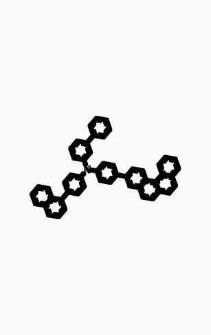 c1ccc(-c2cccc(N(c3ccc(-c4ccc5c(ccc6ccc7ccccc7c65)c4)cc3)c3ccc(-c4cccc5ccccc45)cc3)c2)cc1